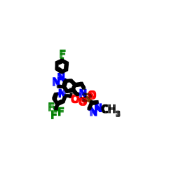 Cn1cc(S(=O)(=O)N2CC=C3Cc4c(cnn4-c4ccc(F)cc4)C[C@]3(C(=O)c3cc(C(F)(F)F)ccn3)C2)cn1